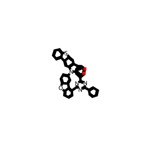 c1ccc(-c2nc(-c3ccccc3)nc(-c3cccc4oc5ccc(-n6c7ccccc7c7cc8sc9ccccc9c8cc76)cc5c34)n2)cc1